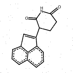 O=C1CCC(C2=Cc3cccc4cccc2c34)C(=O)N1